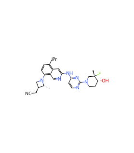 CC(C)c1ccc(N2C[C@H](CC#N)[C@H]2C)c2cnc(Nc3ccnc(N4CC[C@@H](O)[C@@](C)(F)C4)n3)cc12